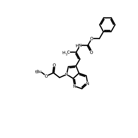 C/C(=C\c1cn(CC(=O)OC(C)(C)C)c2ncncc12)NC(=O)OCc1ccccc1